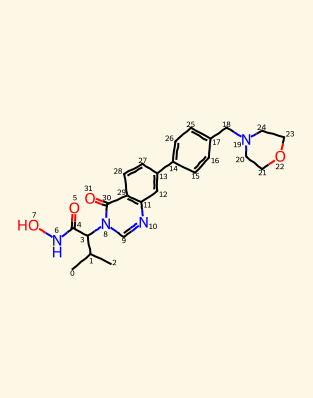 CC(C)C(C(=O)NO)n1cnc2cc(-c3ccc(CN4CCOCC4)cc3)ccc2c1=O